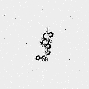 CN1c2nc(-n3ccc(OCC(O)C4CCCC4)n3)ccc2C(=O)N2Sc3cccc(n3)NCCC[C@H]2CC1(C)C